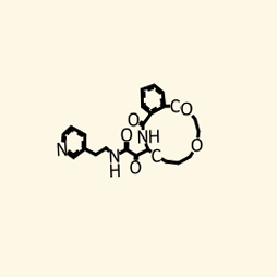 O=C(NCCc1cccnc1)C(=O)C1CCCCOCCOCc2ccccc2C(=O)N1